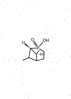 CC1C2CCP(=O)(O)[C@@H]1[C@H]2C